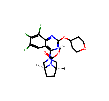 CC(C)(C)OC(=O)N1[C@@H]2CC[C@H]1CN(c1nc(OC3CCOCC3)nc3c(F)c(Br)c(Cl)cc13)C2